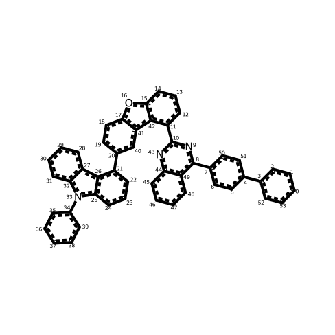 c1ccc(-c2ccc(-c3nc(-c4cccc5oc6ccc(-c7cccc8c7c7ccccc7n8-c7ccccc7)cc6c45)nc4ccccc34)cc2)cc1